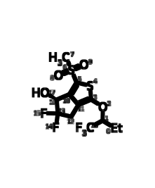 CCC(Oc1sc(S(C)(=O)=O)c2c1CC(F)(F)[C@H]2O)C(F)(F)F